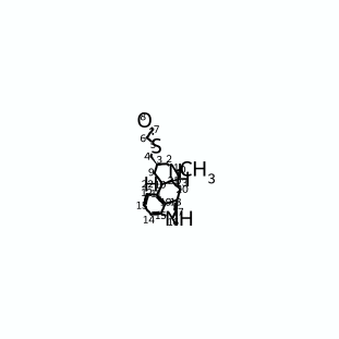 CN1C[C@H](CSC[C]=O)C[C@@H]2c3cccc4[nH]cc(c34)C[C@H]21